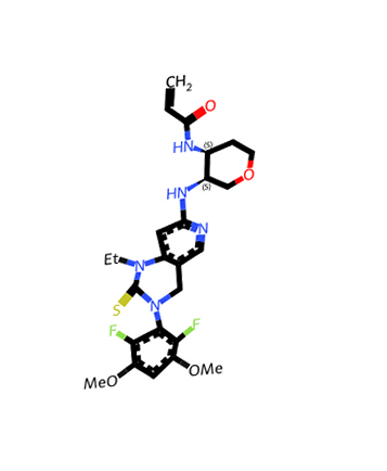 C=CC(=O)N[C@H]1CCOC[C@H]1Nc1cc2c(cn1)CN(c1c(F)c(OC)cc(OC)c1F)C(=S)N2CC